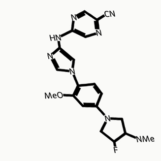 CNC1CN(c2ccc(-n3cnc(Nc4cnc(C#N)cn4)c3)c(OC)c2)CC1F